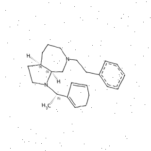 C[C@@H](C1=CCCC=C1)N1CC[C@H]2CCCN(CCc3ccccc3)C[C@H]21